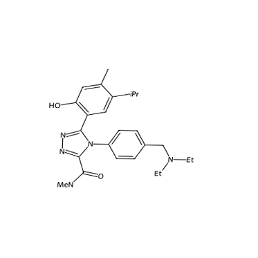 CCN(CC)Cc1ccc(-n2c(C(=O)NC)nnc2-c2cc(C(C)C)c(C)cc2O)cc1